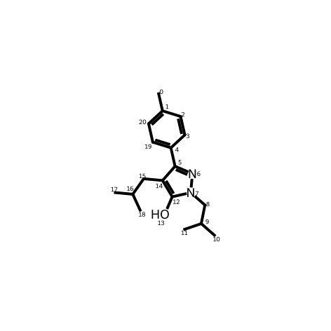 Cc1ccc(-c2nn(CC(C)C)c(O)c2CC(C)C)cc1